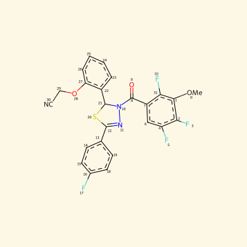 COc1c(F)c(F)cc(C(=O)N2N=C(c3ccc(F)cc3)SC2c2ccccc2OCC#N)c1F